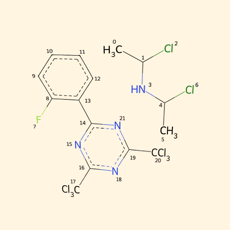 CC(Cl)NC(C)Cl.Fc1ccccc1-c1nc(C(Cl)(Cl)Cl)nc(C(Cl)(Cl)Cl)n1